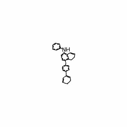 C1=CC(c2ccc(-c3ccc(Nc4ccccc4)c4c3CCC=C4)cc2)=CCC1